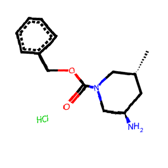 C[C@@H]1C[C@@H](N)CN(C(=O)OCc2ccccc2)C1.Cl